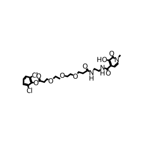 Cn1ccc(C(=O)NCCNC(=O)CCOCCOCCOCCC(=O)Oc2c(Cl)cccc2Cl)c(O)c1=O